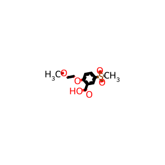 COCCOc1ccc(S(C)(=O)=O)cc1C(=O)O